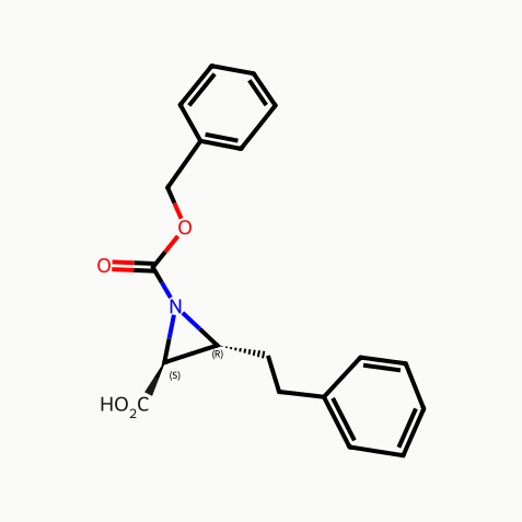 O=C(O)[C@@H]1[C@@H](CCc2ccccc2)N1C(=O)OCc1ccccc1